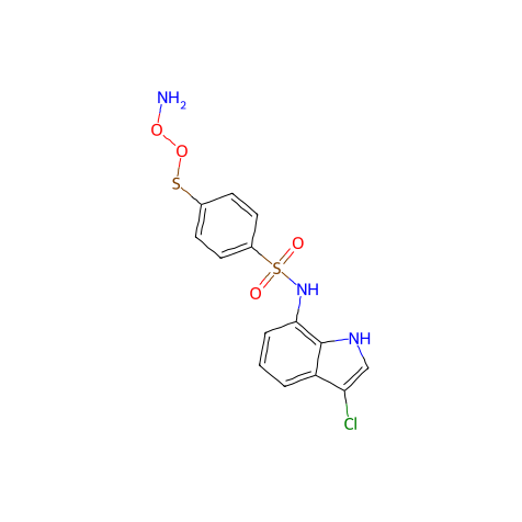 NOOSc1ccc(S(=O)(=O)Nc2cccc3c(Cl)c[nH]c23)cc1